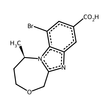 C[C@@H]1CCOCc2nc3cc(C(=O)O)cc(Br)c3n21